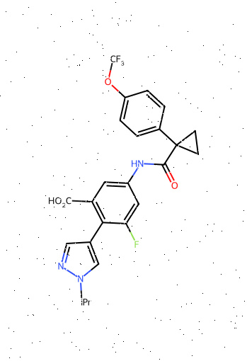 CC(C)n1cc(-c2c(F)cc(NC(=O)C3(c4ccc(OC(F)(F)F)cc4)CC3)cc2C(=O)O)cn1